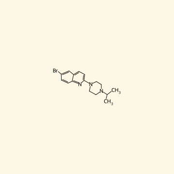 CC(C)N1CCN(c2ccc3cc(Br)ccc3n2)CC1